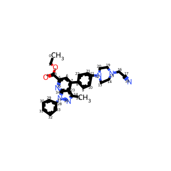 CCOC(=O)c1cc(-c2ccc(N3CCN(CC#N)CC3)cc2)c2c(C)nn(-c3ccccc3)c2n1